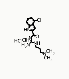 CN(C)CCCNC(N)=NC(=O)c1cc2c(Cl)cccc2[nH]1.Cl.Cl